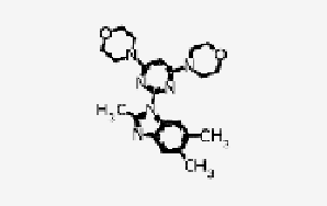 Cc1cc2nc(C)n(-c3nc(N4CCOCC4)cc(N4CCOCC4)n3)c2cc1C